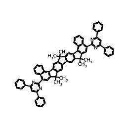 CC1(C)c2cc3c(cc2-c2cc4c(cc21)-c1c(cc(-c2nc(-c5ccccc5)cc(-c5ccccc5)n2)c2ccccc12)C4(C)C)C(C)(C)c1cc(-c2nc(-c4ccccc4)cc(-c4ccccc4)n2)c2ccccc2c1-3